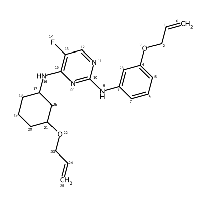 C=CCOc1cccc(Nc2ncc(F)c(NC3CCCC(OCC=C)C3)n2)c1